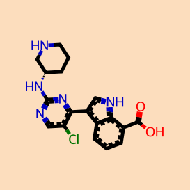 O=C(O)c1cccc2c(-c3nc(N[C@H]4CCCNC4)ncc3Cl)c[nH]c12